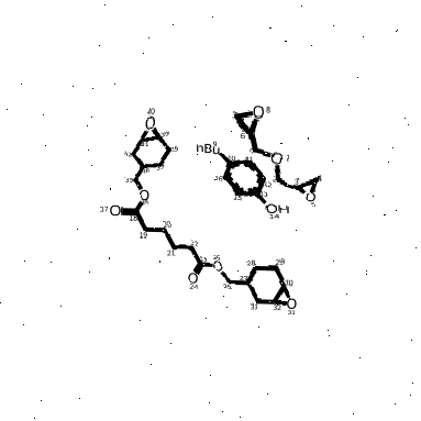 C(OCC1CO1)C1CO1.CCCCc1ccc(O)cc1.O=C(CCCCC(=O)OCC1CCC2OC2C1)OCC1CCC2OC2C1